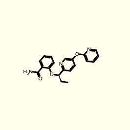 CC[C@@H](Oc1ccccc1C(N)=O)c1ccc(Oc2ccccn2)cn1